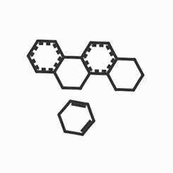 C1=CCCC=C1.c1ccc2c(c1)CCc1c-2ccc2c1CCCC2